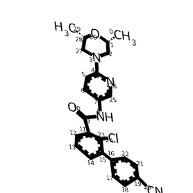 C[C@@H]1CN(c2ccc(NC(=O)c3cccc(-c4ccc(C#N)cc4)c3Cl)cn2)C[C@H](C)O1